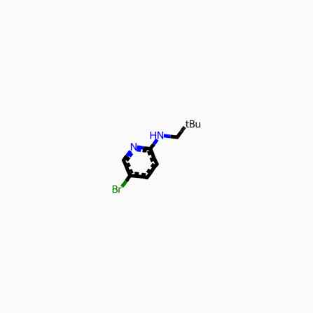 CC(C)(C)CNc1ccc(Br)cn1